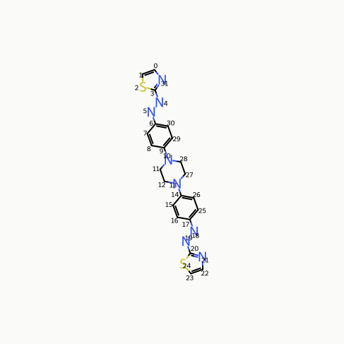 c1csc(N=Nc2ccc(N3CCN(c4ccc(N=Nc5nccs5)cc4)CC3)cc2)n1